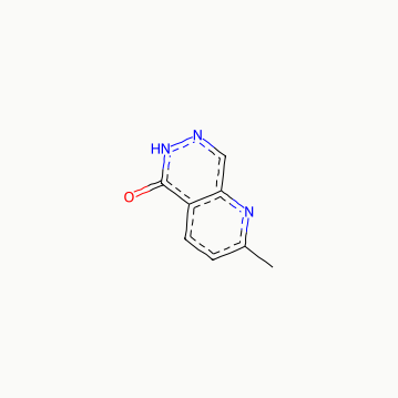 Cc1ccc2c(=O)[nH]ncc2n1